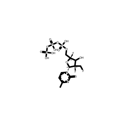 Cc1ccn([C@@H]2O[C@](F)(COP(=O)(O)OP(=O)(O)OP(=O)(O)O)C(O)[C@]2(F)CF)c(=S)n1